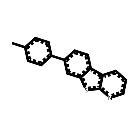 Cc1ccc(-c2ccc3c(c2)sc2ncccc23)cc1